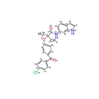 CC(C)(Oc1ccc(C(=O)c2ccc(Cl)cc2)cc1)C(=O)Nc1ccc2cc[nH]c2c1